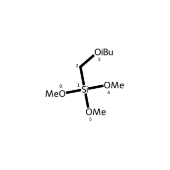 CO[Si](COCC(C)C)(OC)OC